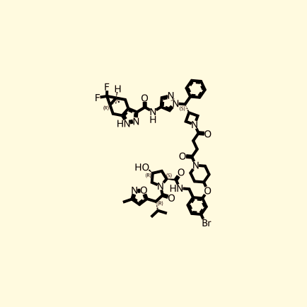 Cc1cc([C@H](C(=O)N2C[C@H](O)C[C@H]2C(=O)NCc2ccc(Br)cc2OC2CCN(C(=O)CCC(=O)N3CC([C@@H](c4ccccc4)n4cc(NC(=O)c5n[nH]c6c5C[C@@H]5C(F)(F)[C@]5(C)C6)cn4)C3)CC2)C(C)C)on1